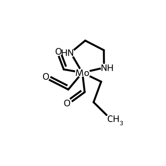 CC[CH2][Mo]1([CH]=O)([CH]=O)([CH]=O)[NH]CC[NH]1